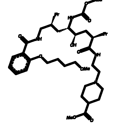 COCCCCOc1ccccc1C(=O)NC[C@@H](C[C@H](NC(=O)OC(C)(C)C)[C@@H](O)C[C@H](C(=O)NCCN1CCC(C(=O)OC)CC1)C(C)C)C(C)C